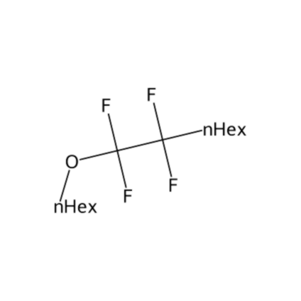 CCCCCCOC(F)(F)C(F)(F)CCCCCC